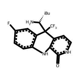 CC[C@@H](C)C(N)C1(C(F)(F)F)c2cc(F)ccc2Nc2c1cc[nH]c2=O